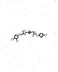 O=C(COc1ccc(Cl)cc1)NC12CC(c3nc(COc4ccc(Cl)c(Cl)c4)no3)(C1)C2